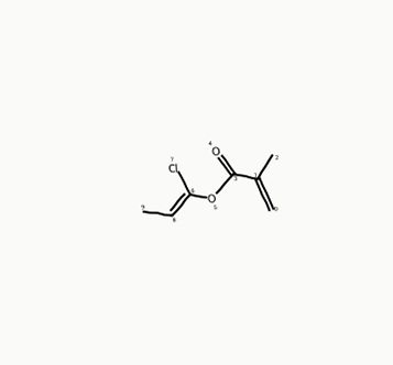 C=C(C)C(=O)OC(Cl)=CC